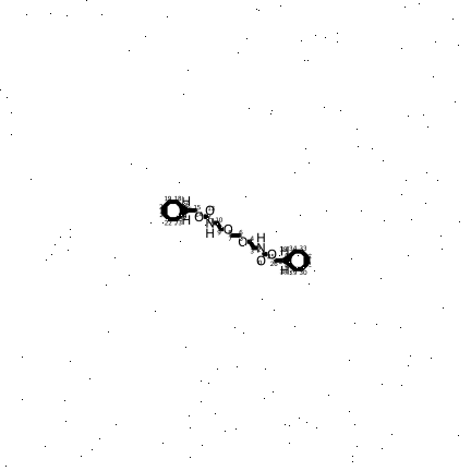 O=C(NCCOCCOCCNC(=O)OCC1[C@H]2CCC#CCC[C@@H]12)OCC1[C@H]2CCC#CCC[C@@H]12